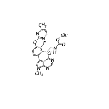 Cc1ccnc(Oc2ccc(-c3cn(C)c4ncnc(Cl)c34)c(CCNC(=O)OC(C)(C)C)c2F)n1